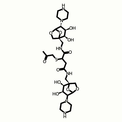 CC(=O)CSC(CC(=O)NC[C@@]12COC(O1)C(N1CCNCC1)[C@@H](O)[C@H]2O)C(=O)NC[C@@]12COC(O1)[C@H](N1CCNCC1)[C@@H](O)[C@H]2O